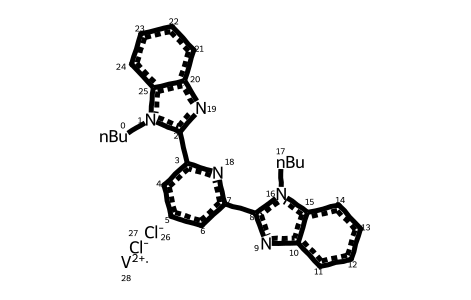 CCCCn1c(-c2cccc(-c3nc4ccccc4n3CCCC)n2)nc2ccccc21.[Cl-].[Cl-].[V+2]